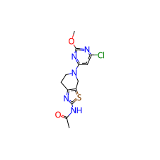 COc1nc(Cl)cc(N2CCc3nc(NC(C)=O)sc3C2)n1